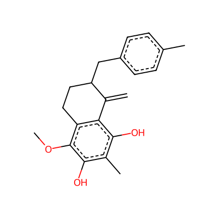 C=C1c2c(O)c(C)c(O)c(OC)c2CCC1Cc1ccc(C)cc1